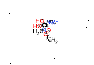 C=CCOC(=O)N(C)C1CC(N=[N+]=[N-])C(O)C1O